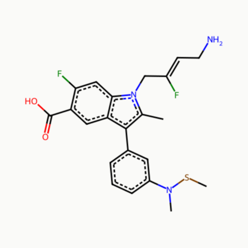 CSN(C)c1cccc(-c2c(C)n(C/C(F)=C/CN)c3cc(F)c(C(=O)O)cc23)c1